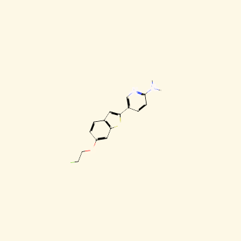 CN(C)c1ccc(-c2cc3ccc(OCCF)cc3s2)cn1